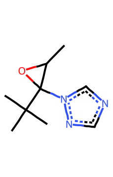 CC1OC1(n1cncn1)C(C)(C)C